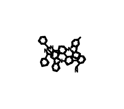 Cc1ccc2c(c1)c1ccccc1n2-c1ccc(-c2nc(-c3ccccc3)nc(-c3ccccc3)n2)cc1-c1cc(-c2ccccc2C#N)ccc1-n1c2ccccc2c2cc(C)ccc21